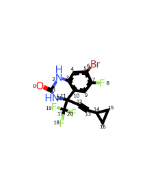 O=C1Nc2cc(Br)c(F)cc2C(C#CC2CC2)(C(F)(F)F)N1